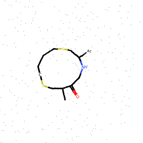 CC(=O)C1CSCCCCSCC(C)C(=O)CN1